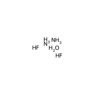 F.F.N.N.O